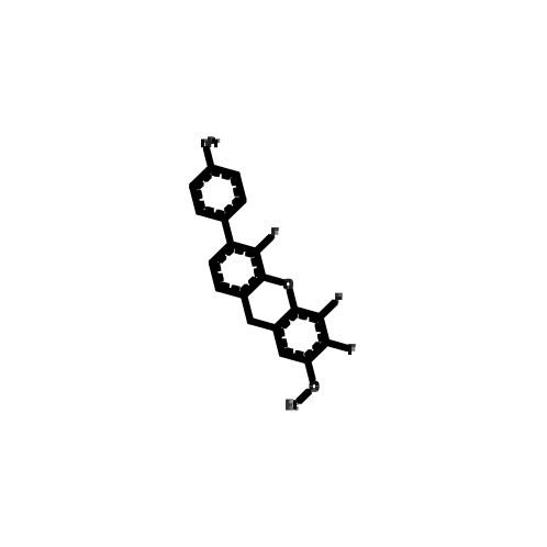 CCCc1ccc(-c2ccc3c(c2F)Oc2c(cc(OCC)c(F)c2F)C3)cc1